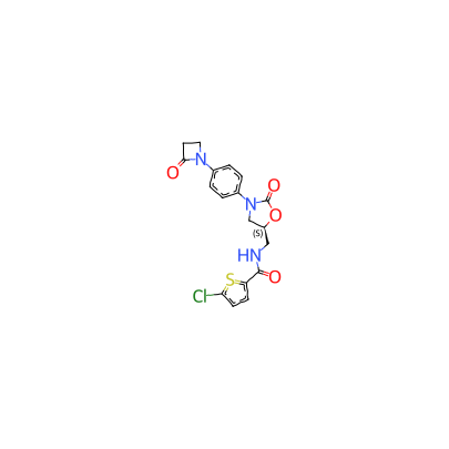 O=C(NC[C@H]1CN(c2ccc(N3CCC3=O)cc2)C(=O)O1)c1ccc(Cl)s1